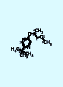 COC[C@H](C)Oc1cnc(C(C)(C)C)cn1